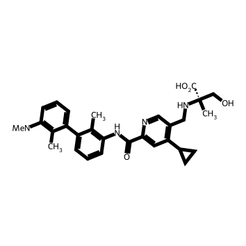 CNc1cccc(-c2cccc(NC(=O)c3cc(C4CC4)c(CN[C@](C)(CO)C(=O)O)cn3)c2C)c1C